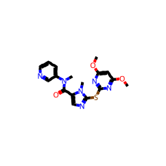 COc1cc(OC)nc(Sc2ncc(C(=O)N(C)c3cccnc3)n2C)n1